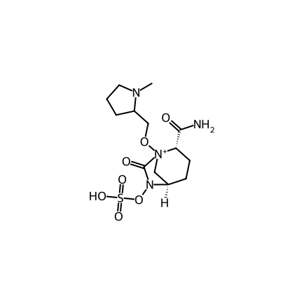 CN1CCCC1CO[N+]12C[C@@H](CC[C@H]1C(N)=O)N(OS(=O)(=O)O)C2=O